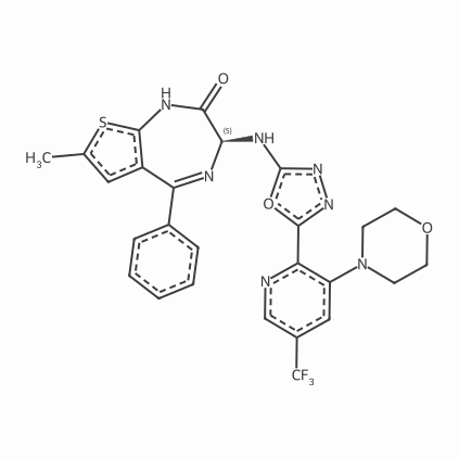 Cc1cc2c(s1)NC(=O)[C@@H](Nc1nnc(-c3ncc(C(F)(F)F)cc3N3CCOCC3)o1)N=C2c1ccccc1